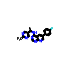 C[C@@H](Nc1ncnc2ncc(-c3ccc(F)cc3)cc12)c1cnc(C(F)(F)F)nc1